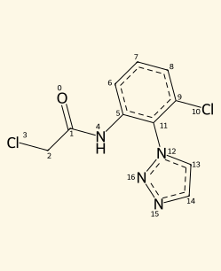 O=C(CCl)Nc1cccc(Cl)c1-n1ccnn1